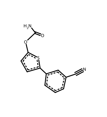 N#Cc1cccc(-c2ccc(OC(N)=O)s2)c1